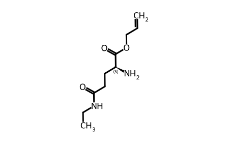 C=CCOC(=O)[C@@H](N)CCC(=O)NCC